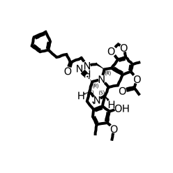 COc1c(C)cc2c(c1O)[C@H]1C3Cc4c(OC(C)=O)c(C)c5c(c4[C@H](CNCC(=O)CCc4ccccc4)N3[C@@H](C#N)[C@H](C2)N1C)OCO5